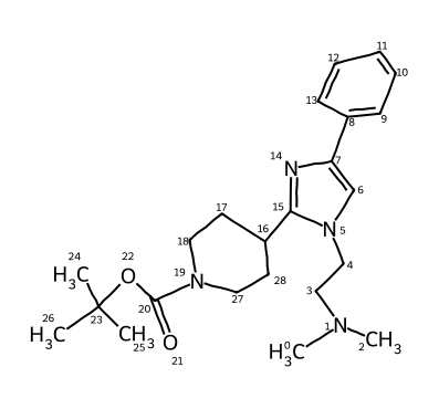 CN(C)CCn1cc(-c2ccccc2)nc1C1CCN(C(=O)OC(C)(C)C)CC1